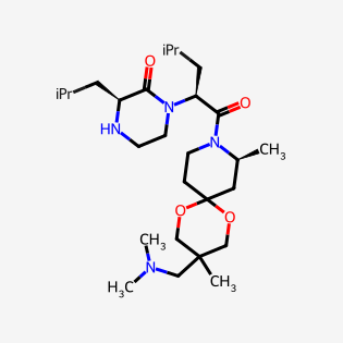 CC(C)C[C@@H]1NCCN([C@@H](CC(C)C)C(=O)N2CCC3(C[C@@H]2C)OCC(C)(CN(C)C)CO3)C1=O